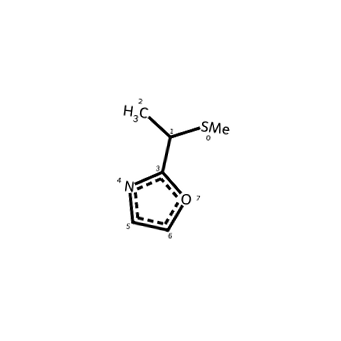 CSC(C)c1ncco1